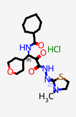 CN1CCS/C1=N\NC(=O)C(=O)[C@H](NC(=O)C1CCCCCC1)C1CCOCC1.Cl